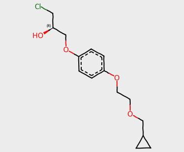 O[C@@H](CCl)COc1ccc(OCCOCC2CC2)cc1